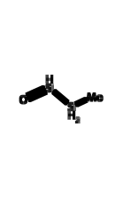 O=[SiH][SiH2][Mo]